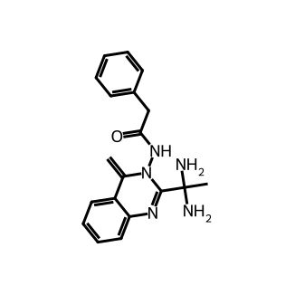 C=C1c2ccccc2N=C(C(C)(N)N)N1NC(=O)Cc1ccccc1